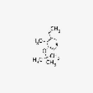 C=Cc1cccc(OC(C)(C)C)c1C